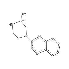 CC(C)[C@@H]1CN(c2cnc3ccccc3n2)CCN1